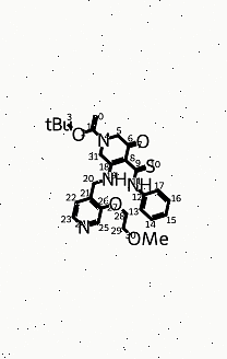 C=C(OC(C)(C)C)N1CC(=O)C(C(=S)Nc2ccccc2)=C(NCc2ccncc2OCCOC)C1